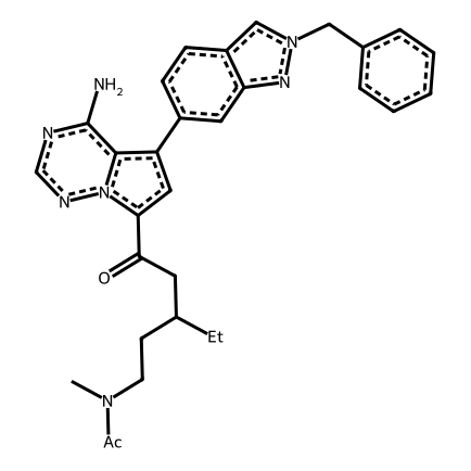 CCC(CCN(C)C(C)=O)CC(=O)c1cc(-c2ccc3cn(Cc4ccccc4)nc3c2)c2c(N)ncnn12